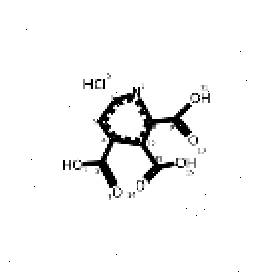 Cl.O=C(O)c1ccnc(C(=O)O)c1C(=O)O